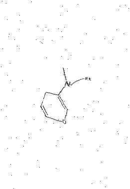 CCN(C)C1=[C]OC=CC1